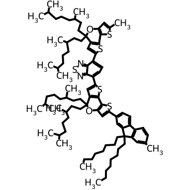 CCCCCCCCC1(CCCCCCCC)c2cc(C)ccc2-c2ccc(-c3cc4c(s3)-c3sc(-c5ccc(-c6cc7c(s6)-c6sc(C)cc6OC7(CCC(C)CCCC(C)C)CCC(C)CCCC(C)C)c6nsnc56)cc3C(CCC(C)CCCC(C)C)(CCC(C)CCCC(C)C)O4)cc21